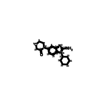 Nc1nc2cc(N3CCOCC3=O)ccc2n1C1CCCCC1